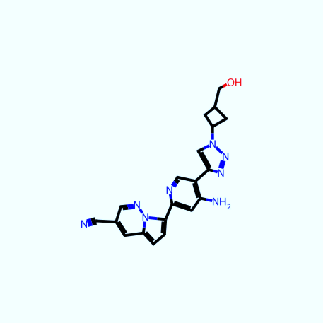 N#Cc1cnn2c(-c3cc(N)c(-c4cn(C5CC(CO)C5)nn4)cn3)ccc2c1